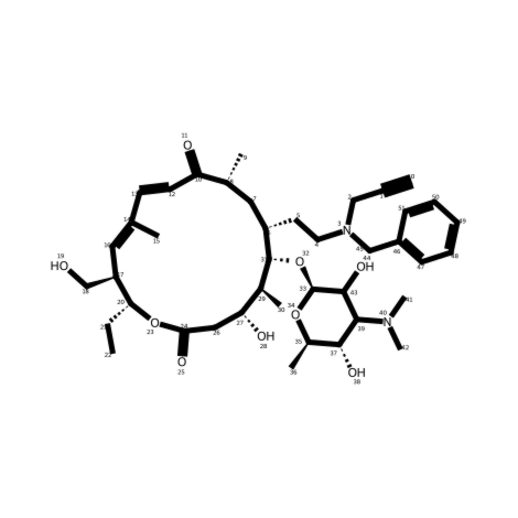 C#CCN(CC[C@H]1C[C@@H](C)C(=O)/C=C/C(C)=C/[C@H](CO)[C@@H](CC)OC(=O)C[C@@H](O)[C@H](C)[C@H]1O[C@@H]1O[C@H](C)[C@@H](O)C(N(C)C)C1O)Cc1ccccc1